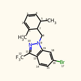 CC1=CC=CC(C)C1Cn1nc(C(F)(F)F)c2ccc(Br)cc21